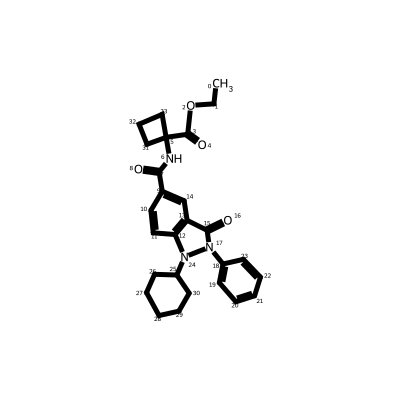 CCOC(=O)C1(NC(=O)c2ccc3c(c2)c(=O)n(-c2ccccc2)n3C2CCCCC2)CCC1